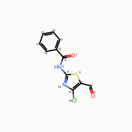 O=Cc1sc(NC(=O)c2ccccc2)nc1Cl